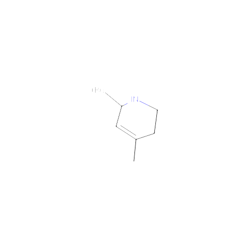 CC1=CC(C(C)(C)C)NCC1